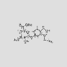 C#CCOc1cc(O[C@@H]2O[C@H](C(=O)OC)[C@@H](C)[C@H](OC(C)=O)[C@H]2OC(C)=O)ccc1CO